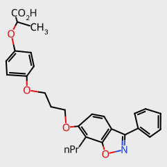 CCCc1c(OCCCOc2ccc(OC(C)C(=O)O)cc2)ccc2c(-c3ccccc3)noc12